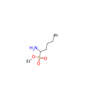 CCOS(=O)(=O)C(N)CCCC(C)C